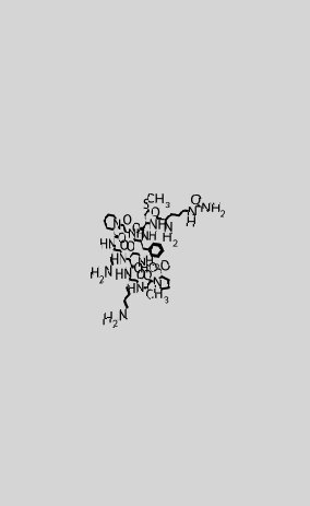 CSCC[C@H](NC(=O)[C@@H](N)CCCNC(N)=O)C(=O)N[C@@H](Cc1ccccc1)C(=O)NCC(=O)N1CCCC[C@H]1C(=O)N[C@@H](CCN)C(=O)N[C@@H](CCN)C(=O)N[C@@H](CCCCN)C(=O)N[C@@H](C)C(=O)N1CCC[C@H]1C(=O)O